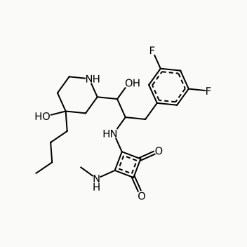 CCCCC1(O)CCNC(C(O)C(Cc2cc(F)cc(F)c2)Nc2c(NC)c(=O)c2=O)C1